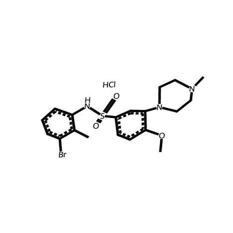 COc1ccc(S(=O)(=O)Nc2cccc(Br)c2C)cc1N1CCN(C)CC1.Cl